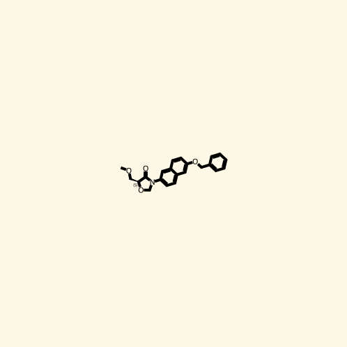 COC[C@@H]1OCN(c2ccc3cc(OCc4ccccc4)ccc3c2)C1=O